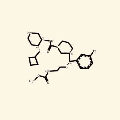 COC(=O)NCCO[C@@H](c1cccc(Cl)c1)[C@@H]1CCCN(C(=O)N[C@@H]2CNCC[C@H]2CC2CCC2)C1